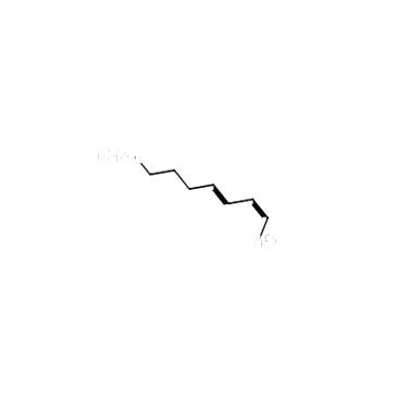 [CH2]CCCCCCCC/C=C/C=C\CCC